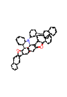 c1cc(-c2ccc3ccccc3c2)cc(N(c2ccccc2-c2cccc3c2oc2cc4ccccc4cc23)c2cccc3oc4c5ccccc5ccc4c23)c1